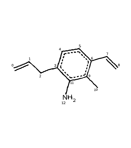 C=CCc1ccc(C=C)c(C)c1N